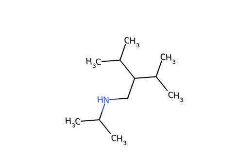 CC(C)NCC(C(C)C)C(C)C